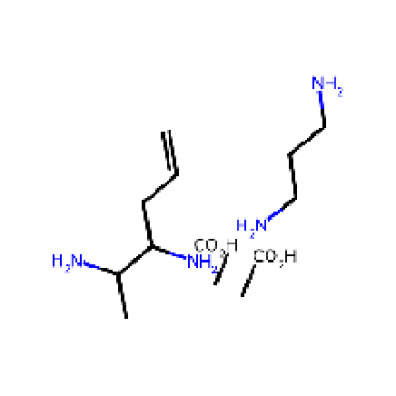 C=CCC(N)C(C)N.CC(=O)O.CC(=O)O.NCCCN